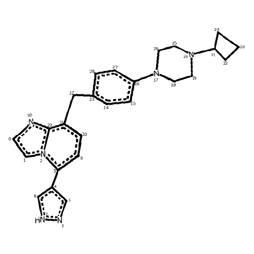 c1cn2c(-c3cn[nH]c3)ccc(Cc3ccc(N4CCN(C5CCC5)CC4)cc3)c2n1